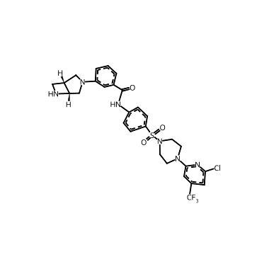 O=C(Nc1ccc(S(=O)(=O)N2CCN(c3cc(C(F)(F)F)cc(Cl)n3)CC2)cc1)c1cccc(N2C[C@H]3CN[C@H]3C2)c1